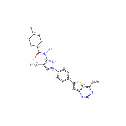 CNc1ncnc2cc(-c3ccc(-n4cc(C(=O)O)c(N(C(=O)C5CCC(C)CC5)C(C)C)n4)cc3)sc12